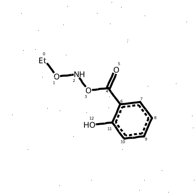 CCONOC(=O)c1ccccc1O